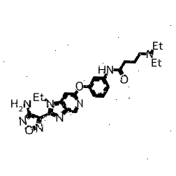 CCN(CC)CCCC(=O)Nc1cccc(Oc2cc3c(cn2)nc(-c2nonc2N)n3CC)c1